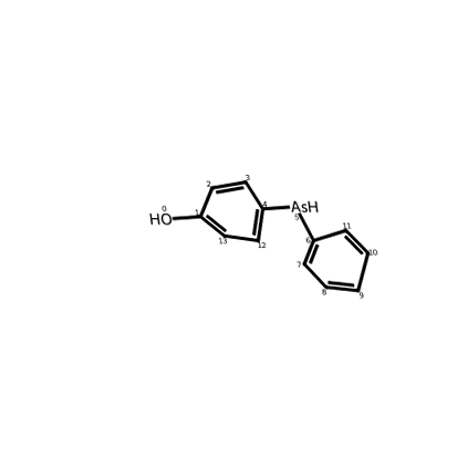 Oc1ccc([AsH]c2ccccc2)cc1